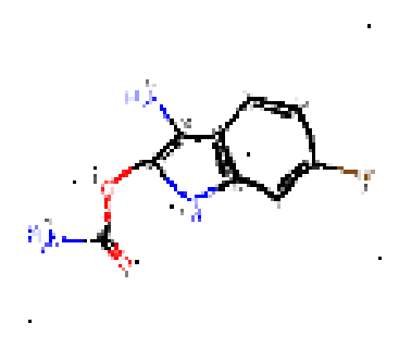 NC(=O)Oc1[nH]c2cc(Br)ccc2c1N